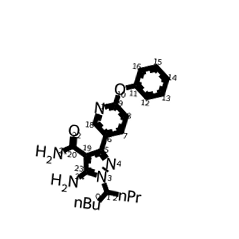 CCCCC(CCC)n1nc(-c2ccc(Oc3ccccc3)nc2)c(C(N)=O)c1N